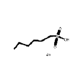 CCCCCCS(=O)(=O)O.[Zn]